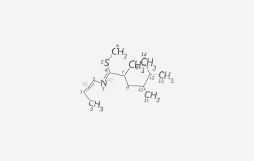 C/C=C\N=C(/SC)C(C)CC(C)C(C)C